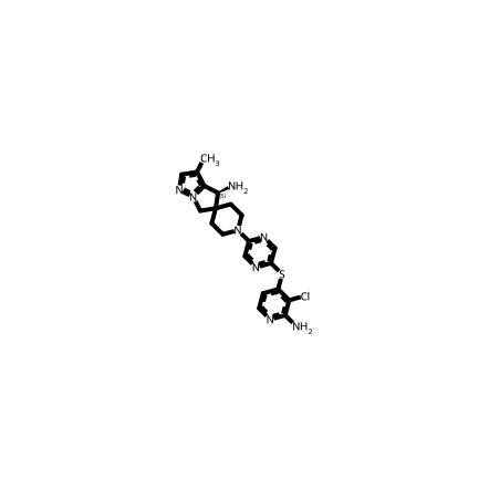 Cc1cnn2c1[C@@H](N)C1(CCN(c3cnc(Sc4ccnc(N)c4Cl)cn3)CC1)C2